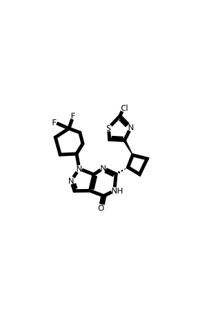 O=c1[nH]c([C@H]2CC[C@@H]2c2csc(Cl)n2)nc2c1cnn2C1CCC(F)(F)CC1